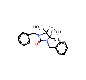 CC1(C(=O)O)N(Cc2ccccc2)C(=O)N(Cc2ccccc2)C1(C)C(=O)O